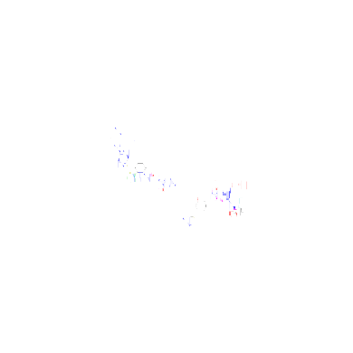 Cc1ncsc1-c1ccc(CNC(=O)[C@@H]2C[C@@H](O)CN2C(=O)[C@@H](NC(=O)C2(F)CC2)C(C)(C)C)c(OCCCCN2CCN(CC(=O)Nc3cccc(Sc4cnc(N5CCC(C)(CN)CC5)cn4)c3Cl)C(=O)C2)c1